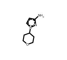 Nc1ccn(C2CCOCC2)n1